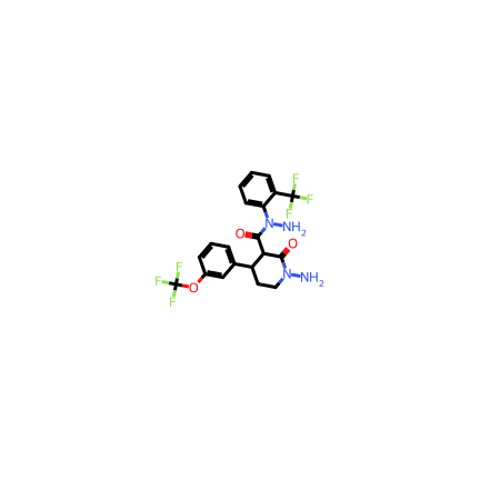 NN1CCC(c2cccc(OC(F)(F)F)c2)C(C(=O)N(N)c2ccccc2C(F)(F)F)C1=O